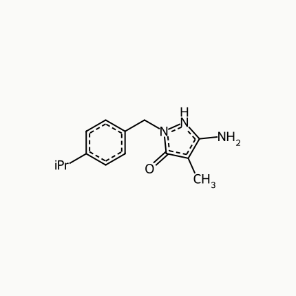 Cc1c(N)[nH]n(Cc2ccc(C(C)C)cc2)c1=O